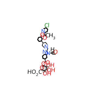 C[C@]1(c2ccc(Cl)cn2)Oc2cccc(C3CCN(Cc4nc5ccc(C(=O)O[C@@H]6O[C@H](C(=O)O)[C@@H](O)[C@H](O)[C@H]6O)cc5n4C4C5CO[C@@H]54)CC3)c2O1